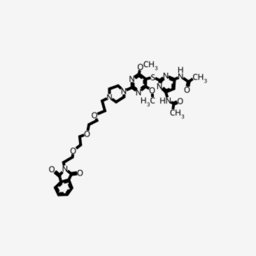 COc1nc(N2CCN(CCOCCOCCOCCN3C(=O)c4ccccc4C3=O)CC2)nc(OC)c1Sc1nc(NC(C)=O)cc(NC(C)=O)n1